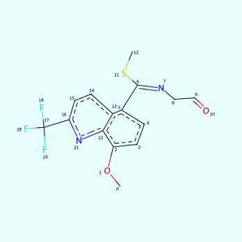 COc1ccc(/C(=N\CC=O)SC)c2ccc(C(F)(F)F)nc12